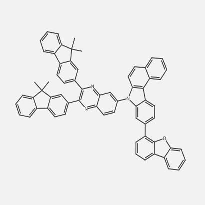 CC1(C)c2ccccc2-c2ccc(-c3nc4ccc(-n5c6cc(-c7cccc8c7oc7ccccc78)ccc6c6c7ccccc7ccc65)cc4nc3-c3ccc4c(c3)C(C)(C)c3ccccc3-4)cc21